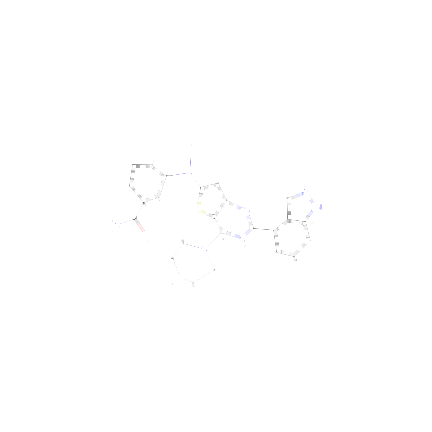 CN(c1cccc(C(N)=O)c1)c1cc2nc(-c3cccc4[nH]ncc34)nc(N3CCOCC3)c2s1